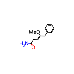 CO/C(=C\CC(N)=O)Cc1ccccc1